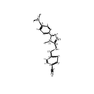 CN(C)c1ccc(-c2nnc(SCc3ccc(C#N)cc3)n2C)cc1